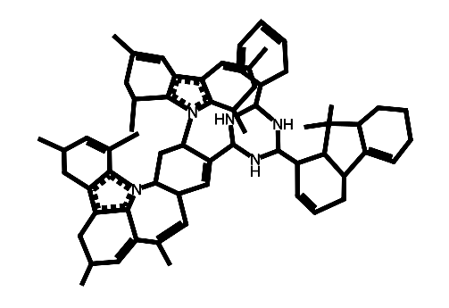 CC1=Cc2c3c(n(C4CC5C(C=C(C)C6=CC(C)Cc7c8c(n5c76)C(C)=CC(C)C8)C=C4C4NC(C5C=CC=CC5)NC(C5C=CCC6C7=CCCCC7C(C)(C)C65)N4)c2C(C)C1)C(C)CC(C)=C3